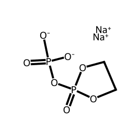 O=P([O-])([O-])OP1(=O)OCCO1.[Na+].[Na+]